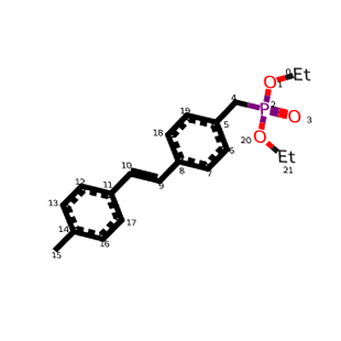 CCOP(=O)(Cc1ccc(/C=C/c2ccc(C)cc2)cc1)OCC